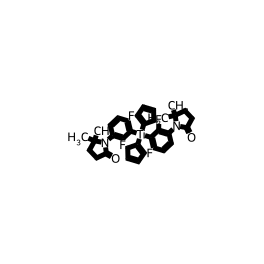 CC1(C)CCC(=O)N1c1ccc(F)[c]([Ti]([C]2=CC=CC2)([C]2=CC=CC2)[c]2c(F)ccc(N3C(=O)CCC3(C)C)c2F)c1F